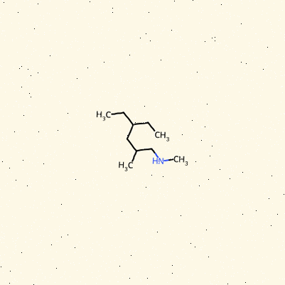 CCC(CC)CC(C)CNC